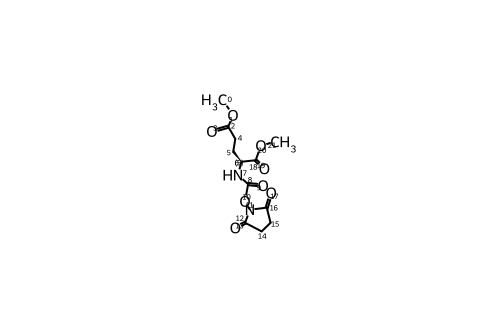 COC(=O)CC[C@H](NC(=O)ON1C(=O)CCC1=O)C(=O)OC